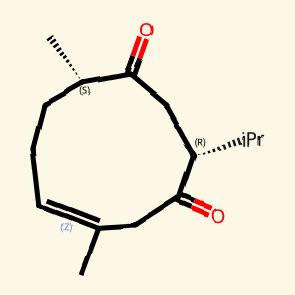 C/C1=C/CC[C@H](C)C(=O)C[C@H](C(C)C)C(=O)C1